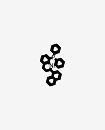 c1ccc(P(c2ccccc2)c2cccc3c2NC(c2cccc4ccccc24)CC3)cc1